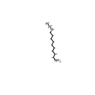 [N-]=[N+]=NCCCCCCCCCN